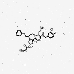 CC(C)(C)OC(=O)N[C@@H]1C[C@H]2C(=O)N([C@H](CCN)C(=O)NCc3ccc(Cl)c(Cl)c3)CCC(CCc3ccccc3)N2C1